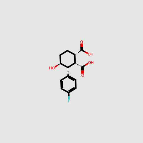 O=C(O)[C@@H]1[C@H](c2ccc(F)cc2)[C@@H](O)CC[C@@H]1C(=O)O